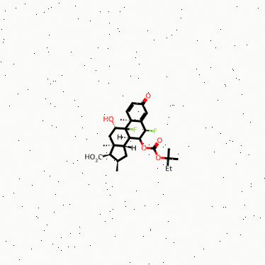 CCC(C)(C)OC(=O)OC1[C@H](F)C2=CC(=O)C=C[C@]2(C)C2(F)[C@@H](O)C[C@]3(C)[C@H](C(=O)O)[C@H](C)C[C@H]3[C@H]12